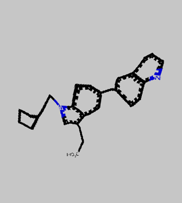 O=C(O)Cc1cn(CC2CCC2)c2ccc(-c3ccc4ncccc4c3)cc12